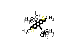 CC[Si](C#Cc1c2cc3sc(C)cc3cc2c([Si](CC)(CC)CC)c2cc3sc(C)cc3cc12)(CC)CC